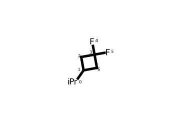 [CH2]C(C)C1CC(F)(F)C1